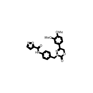 COc1ccc(C2=NN(Cc3ccc(NC(=O)c4ccno4)cc3)C(=O)OC2)cc1OC